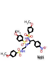 COc1ccc(S(=O)(=O)NCCN(CC(Cc2ccc([N+](=O)[O-])cc2)NS(=O)(=O)c2ccc(OC)cc2)S(=O)(=O)c2ccc(OC)cc2)cc1.[NaH].[NaH]